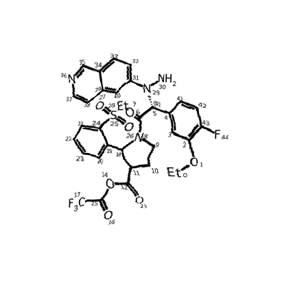 CCOc1cc([C@H](C(=O)N2CCC(C(=O)OC(=O)C(F)(F)F)C2c2ccccc2S(=O)(=O)CC)N(N)c2ccc3cnccc3c2)ccc1F